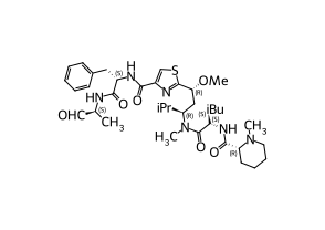 CC[C@H](C)[C@H](NC(=O)[C@H]1CCCCN1C)C(=O)N(C)[C@H](C[C@@H](OC)c1nc(C(=O)N[C@@H](Cc2ccccc2)C(=O)N[C@@H](C)C=O)cs1)C(C)C